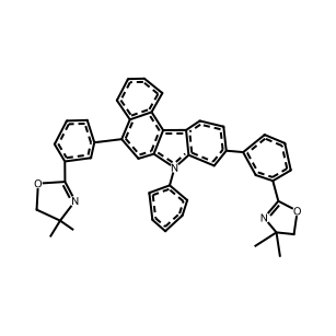 CC1(C)COC(c2cccc(-c3ccc4c5c6ccccc6c(-c6cccc(C7=NC(C)(C)CO7)c6)cc5n(-c5ccccc5)c4c3)c2)=N1